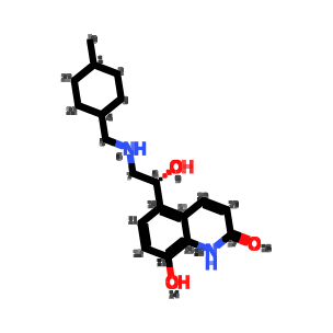 [CH2]C1CCC(CNC[C@H](O)c2ccc(O)c3[nH]c(=O)ccc23)CC1